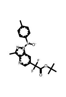 Cc1ccc([S+]([O-])n2nc(C)c3ncc(C(F)(F)C(=O)OC(C)(C)C)cc32)cc1